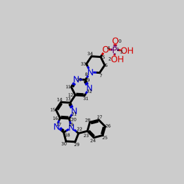 O=P(O)(O)OC1CCN(c2ncc(-c3ccc4nc5n(c4n3)C(c3ccccc3)CC5)cn2)CC1